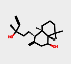 C=C[C@@](C)(O)CC[C@H]1C(=C)C[C@H](O)[C@H]2C(C)(C)CCC[C@]12C